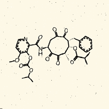 COc1ccnc(C(=O)N[C@H]2CC(=O)C(=O)[C@H](Cc3ccccc3)[C@H](OC(=O)C(C)C)[C@H](C)C(=O)C2=O)c1OC(=O)OC(C)C